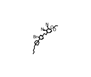 CCCCCC12CCC(c3ccc(CCc4ccc(OC(=O)CC)c(C#N)c4C#N)cc3Br)(CC1)CC2